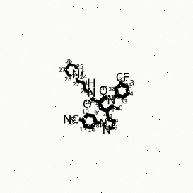 Cc1c(-c2ccnn2-c2ccc(C#N)cc2)cc(C(=O)NCCC[N+]2(C)CCCC2)c(=O)n1-c1cccc(C(F)(F)F)c1.[I-]